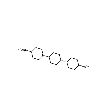 CCCCCC1CCN(C2CCC([C@H]3CC[C@H](CCC)CC3)CC2)CC1